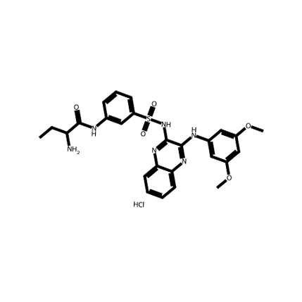 CCC(N)C(=O)Nc1cccc(S(=O)(=O)Nc2nc3ccccc3nc2Nc2cc(OC)cc(OC)c2)c1.Cl